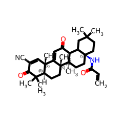 C=CC(=O)N[C@]12CCC(C)(C)CC1C1C(=O)C=C3[C@@]4(C)C=C(C#N)C(=O)C(C)(C)[C@@H]4CC[C@@]3(C)[C@]1(C)CC2